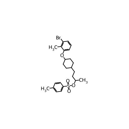 Cc1ccc(S(=O)(=O)OC(C)CCC2CCC(Oc3cccc(Br)c3C)CC2)cc1